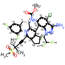 CC(C)(C)OC(=O)N[C@@H](Cc1cc(F)cc(F)c1)c1nc(C#CC(C)(C)S(C)(=O)=O)c2c(c1-c1ccc(Cl)c3c(N)nn(C(F)C(F)F)c13)CCC2